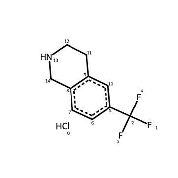 Cl.FC(F)(F)c1ccc2c(c1)CCNC2